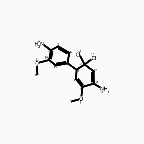 COC1=CC(c2ccc(N)c(OC)c2)C(Cl)(Cl)C=C1N